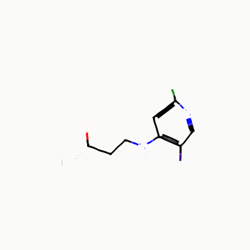 C[C@H](O)CCNc1cc(Cl)ncc1I